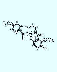 COc1c(F)cccc1C(=O)N1CCC[C@@H](Nc2ccc(C(F)(F)F)cn2)[C@@H]1C